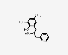 CCCCN(Cc1ccccc1)Cc1cc(C)cc(C)c1O